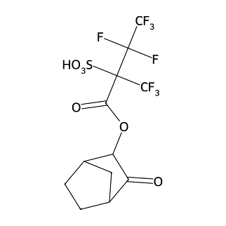 O=C1C2CCC(C2)C1OC(=O)C(C(F)(F)F)(C(F)(F)C(F)(F)F)S(=O)(=O)O